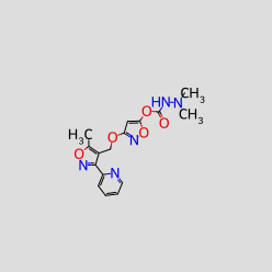 Cc1onc(-c2ccccn2)c1COc1cc(OC(=O)NN(C)C)on1